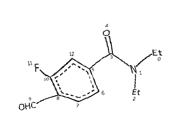 CCN(CC)C(=O)c1ccc(C=O)c(F)c1